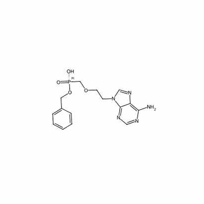 Nc1ncnc2c1ncn2CCOC[P@@](=O)(O)OCc1ccccc1